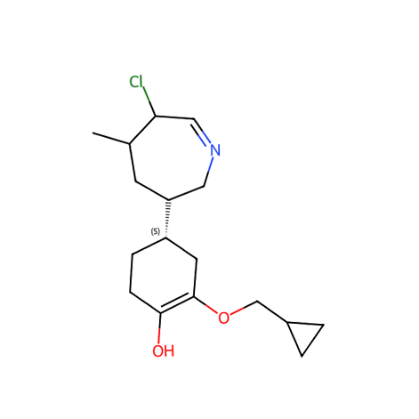 CC1CC([C@H]2CCC(O)=C(OCC3CC3)C2)CN=CC1Cl